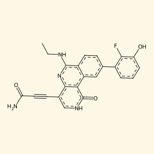 CCNc1nc2c(C#CC(N)=O)c[nH]c(=O)c2c2cc(-c3cccc(O)c3F)ccc12